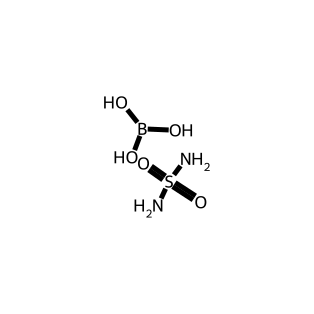 NS(N)(=O)=O.OB(O)O